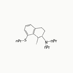 CCCSc1cccc2c1C(C)C(N(CCC)CCC)CC2